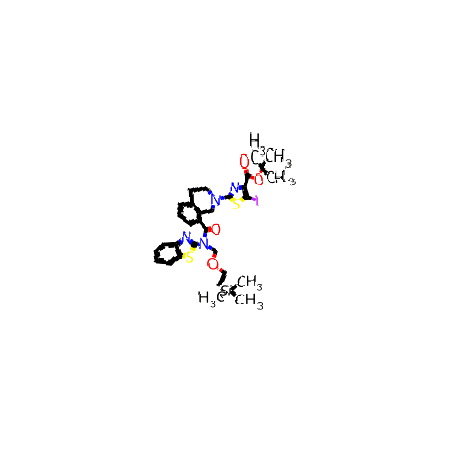 CC(C)(C)OC(=O)c1nc(N2CCc3cccc(C(=O)N(COCC[Si](C)(C)C)c4nc5ccccc5s4)c3C2)sc1I